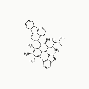 B=c1c(-c2ccc3c4c(cccc24)C2C=CC=CC32)c2c(B)c(B)c(B)c(B)c2c(-n2c(C)nc3ccccc32)/c1=C(B)/C(B)=C(/B)C